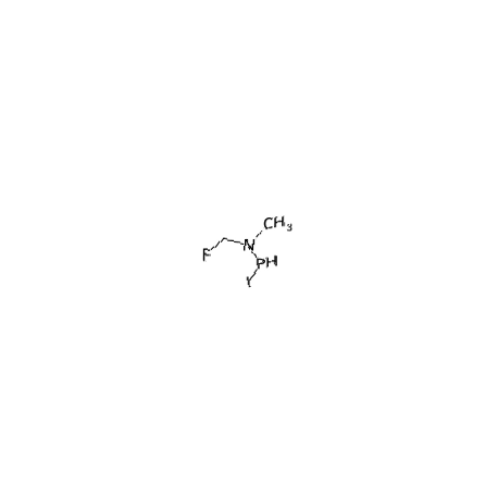 CN(CF)PI